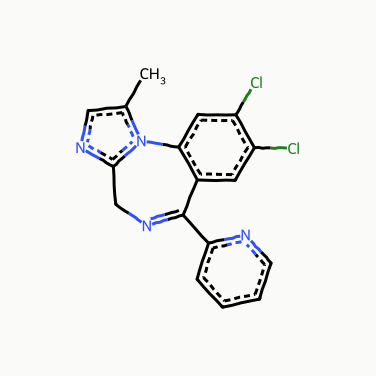 Cc1cnc2n1-c1cc(Cl)c(Cl)cc1C(c1ccccn1)=NC2